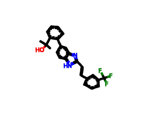 CC(C)(O)c1ccccc1-c1ccc2[nH]c(C=Cc3cccc(C(F)(F)F)c3)nc2c1